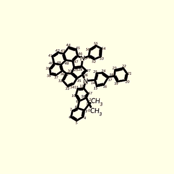 CC1(C)c2ccccc2-c2ccc(N(c3ccc(-c4ccccc4)cc3)c3cc4c5c6c(cccc36)-c3cccc6ccc7ccc(c5c7c36)n4-c3ccccc3)cc21